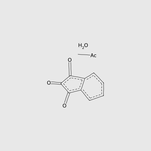 CC(C)=O.O.O=c1c(=O)c2ccccc2c1=O